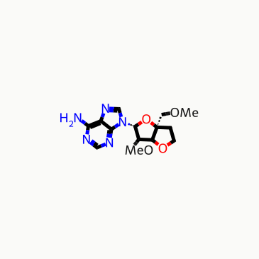 COC[C@]12CCOC1C(OC)[C@H](n1cnc3c(N)ncnc31)O2